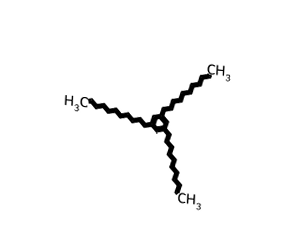 CCCCCCCCCCCc1[c]c(CCCCCCCCCCC)cc(CCCCCCCCCCC)c1